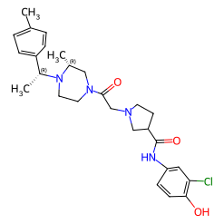 Cc1ccc([C@@H](C)N2CCN(C(=O)CN3CCC(C(=O)Nc4ccc(O)c(Cl)c4)C3)C[C@H]2C)cc1